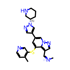 C/N=C\c1cnn2cc(-c3cnn([C@H]4CCCNC4)c3)cc(Sc3cnccc3C)c12